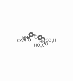 O=C(O)C(=O)N[C@H](Cc1ccc(OCc2cccc(C(=O)NCCNCl)c2)cc1)C(=O)O